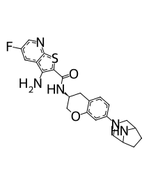 Nc1c(C(=O)N[C@@H]2COc3cc(N4CC5CCC(C4)N5)ccc3C2)sc2ncc(F)cc12